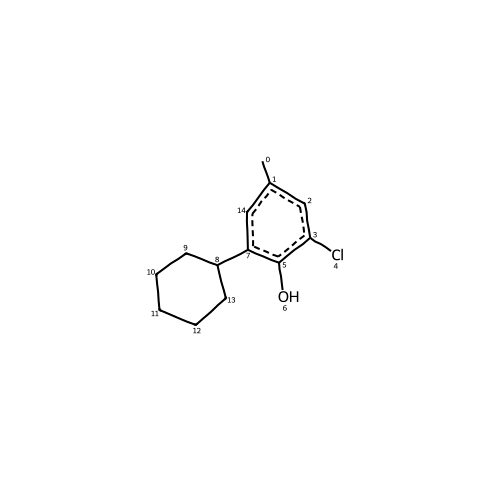 Cc1cc(Cl)c(O)c(C2CCCCC2)c1